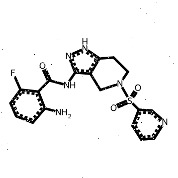 Nc1cccc(F)c1C(=O)Nc1n[nH]c2c1CN(S(=O)(=O)c1cccnc1)CC2